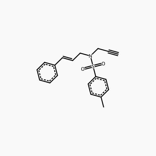 C#CCN(C/C=C/c1ccccc1)S(=O)(=O)c1ccc(C)cc1